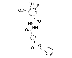 Cc1c(F)cc(C(=O)NNC(=O)C2CN(C(=O)OCc3ccccc3)C2)cc1[N+](=O)[O-]